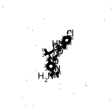 CC(C)C1CN(S(=O)(=O)c2cc3ccc(Cl)cc3[nH]2)CC(=O)N1Cc1ccc2c(N)ncnc2c1